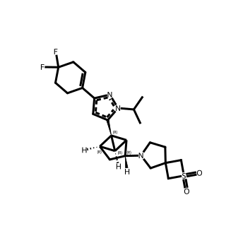 CC(C)n1nc(C2=CCC(F)(F)CC2)cc1[C@]12C3[C@H](N4CCC5(C4)CS(=O)(=O)C5)C[C@@H]1[C@H]32